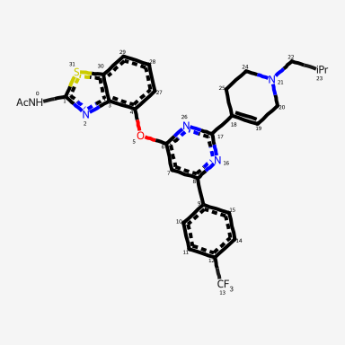 CC(=O)Nc1nc2c(Oc3cc(-c4ccc(C(F)(F)F)cc4)nc(C4=CCN(CC(C)C)CC4)n3)cccc2s1